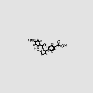 O=C(O)c1ccc(C2CCCN2C(=O)c2ccc(O)cc2O)cc1